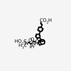 CC(C)[C@H](NC(=O)Oc1ccc(-c2ccc(/C=C/C(=O)O)cc2)cc1C12CC3CC(CC(C3)C1)C2)C(=O)N(C)C(=O)O